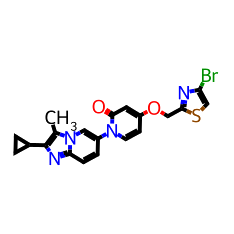 Cc1c(C2CC2)nc2ccc(-n3ccc(OCc4nc(Br)cs4)cc3=O)cn12